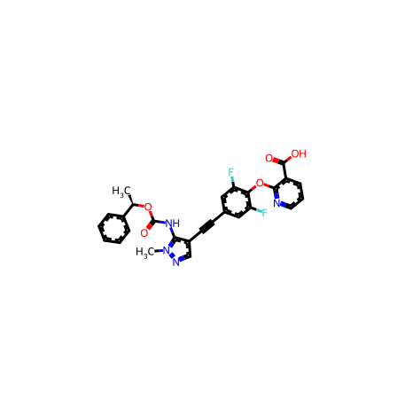 C[C@@H](OC(=O)Nc1c(C#Cc2cc(F)c(Oc3ncccc3C(=O)O)c(F)c2)cnn1C)c1ccccc1